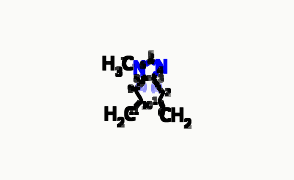 C=C/C=c1/ncn(C)/c1=C/C=C